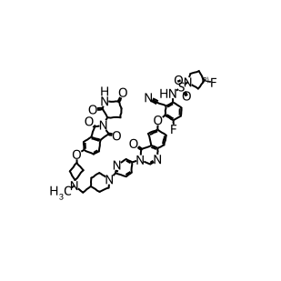 CN(CC1CCN(c2ccc(-n3cnc4ccc(Oc5c(F)ccc(NS(=O)(=O)N6CC[C@@H](F)C6)c5C#N)cc4c3=O)cn2)CC1)C1CC(Oc2ccc3c(c2)C(=O)N(C2CCC(=O)NC2=O)C3=O)C1